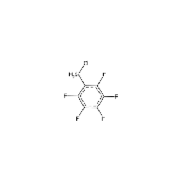 Fc1c(F)c(F)c([SiH2]Cl)c(F)c1F